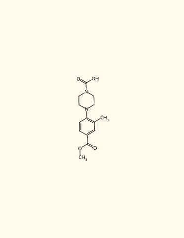 COC(=O)c1ccc(N2CCN(C(=O)O)CC2)c(C)c1